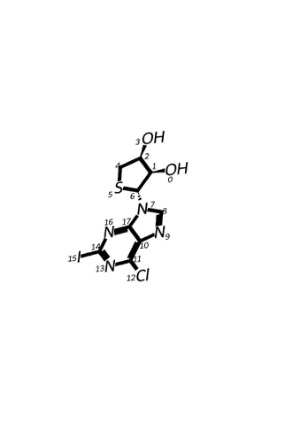 O[C@@H]1[C@H](O)CS[C@H]1n1cnc2c(Cl)nc(I)nc21